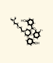 Cc1c(F)cccc1[C@H]1[C@H](C(=O)c2cccc(O)c2)CN(CCOCCN(C)C)C[C@H]1c1c[c]cc(O)c1